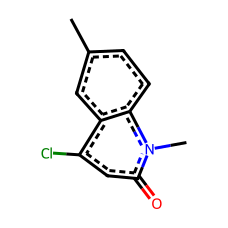 Cc1ccc2c(c1)c(Cl)cc(=O)n2C